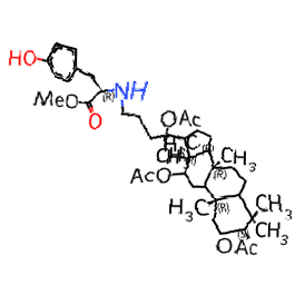 COC(=O)[C@@H](Cc1ccc(O)cc1)NCCCC(C)(OC(C)=O)C1CC[C@]2(C)[C@@H]1C(OC(C)=O)CC1[C@@]3(C)CC[C@H](OC(C)=O)C(C)(C)C3CC[C@]12C